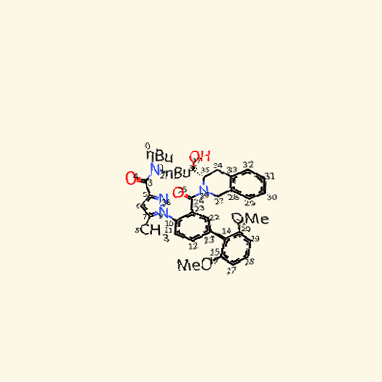 CCCCN(CCCC)C(=O)c1cc(C)n(-c2ccc(-c3c(OC)cccc3OC)cc2C(=O)N2Cc3ccccc3C[C@H]2CO)n1